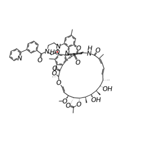 CO[C@H]1/C=C/O[C@@]2(C)Oc3c(C)c(O)c4c(=O)c(c5oc6cc(C)cc(N7CCN(C(=O)c8cccc(-c9ccccn9)c8)CC7)c6nc-5c4c3C2=O)NC(=O)/C(C)=C\C=C\[C@H](C)[C@H](O)[C@@H](C)[C@@H](O)[C@@H](C)[C@H](OC(C)=O)[C@@H]1C